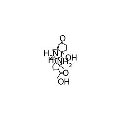 C[C@]12CCC(=O)C=C1CC[C@@H]1[C@]2(N)[C@@H](O)C[C@]2(C)[C@@H](C(=O)CO)CC[C@@]12N